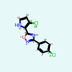 Clc1ccc(-c2noc(-c3[nH]ccc3Cl)n2)cc1